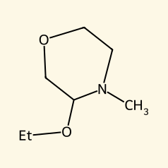 CCOC1COCCN1C